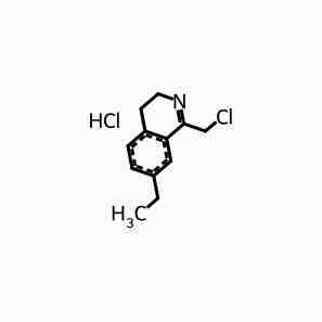 CCc1ccc2c(c1)C(CCl)=NCC2.Cl